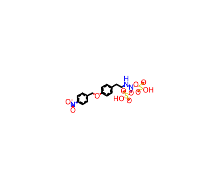 O=[N+]([O-])c1ccc(COc2ccc(CCNN(OS(=O)(=O)O)OS(=O)(=O)O)cc2)cc1